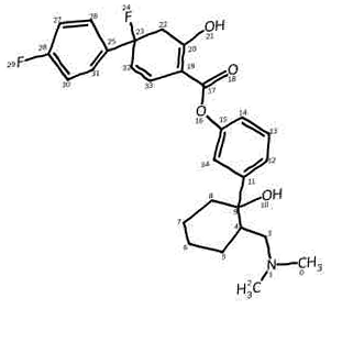 CN(C)CC1CCCCC1(O)c1cccc(OC(=O)C2=C(O)CC(F)(c3ccc(F)cc3)C=C2)c1